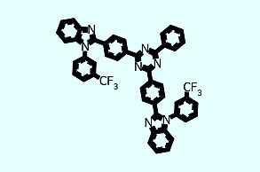 FC(F)(F)c1cccc(-n2c(-c3ccc(-c4nc(-c5ccccc5)nc(-c5ccc(-c6nc7ccccc7n6-c6cccc(C(F)(F)F)c6)cc5)n4)cc3)nc3ccccc32)c1